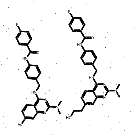 CC(=O)c1ccc2c(NCc3ccc(NC(=O)c4ccc(F)cc4)cc3)nc(N(C)C)nc2c1.CN(C)c1nc(NCc2ccc(NC(=O)c3ccc(F)cc3)cc2)c2ccc(CCO)cc2n1